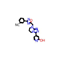 N#Cc1cccc(-c2noc(CN3CCCn4c(-c5ccnc(O)c5)nnc43)n2)c1